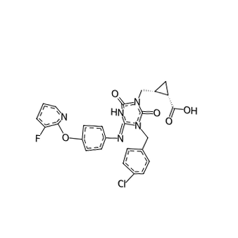 O=C(O)[C@H]1C[C@H]1Cn1c(=O)[nH]/c(=N\c2ccc(Oc3ncccc3F)cc2)n(Cc2ccc(Cl)cc2)c1=O